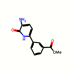 COC(=O)c1cccc(-c2ccc(N)c(=O)[nH]2)c1